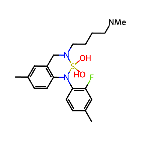 CNCCCCN1Cc2cc(C)ccc2N(c2ccc(C)cc2F)S1(O)O